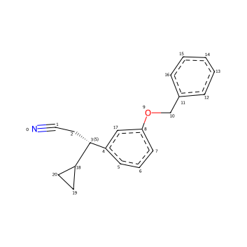 N#CC[C@H](c1cccc(OCc2ccccc2)c1)C1CC1